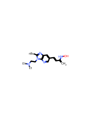 C=C(/C=C/c1cnc2c(c1)nc(CCCC)n2CCN(CC)CC)NO